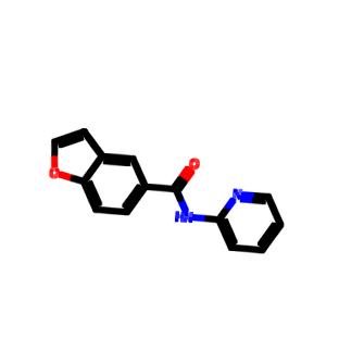 O=C(Nc1ccccn1)c1ccc2occc2c1